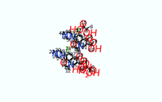 CC(O)C(=O)O.CC(O)C(=O)O.C[C@H]1COc2c(N3CCN(C)CC3)c(F)cc3c(=O)c(C(=O)O)cn1c23.C[C@H]1COc2c(N3CCN(C)CC3)c(F)cc3c(=O)c(C(=O)O)cn1c23.O